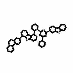 c1ccc(-c2nc(-c3ccc4c(c3)sc3ccccc34)nc(-c3ccccc3-c3cccc4oc5c(-c6ccc7c(ccc8ccccc87)c6)cccc5c34)n2)cc1